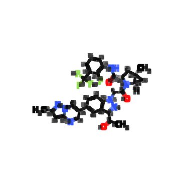 CC(=O)c1nn(CC(=O)N2[C@H](C(=O)Nc3cccc(C(F)(F)F)c3F)C[C@@]3(C)C[C@@H]23)c2ccc(-c3cnc4cc(C)nn4c3)cc12